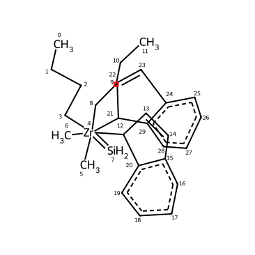 CCC[CH2][Zr]([CH3])([CH3])(=[SiH2])([CH2]CCC)([CH]1C=Cc2ccccc21)[CH]1C=Cc2ccccc21